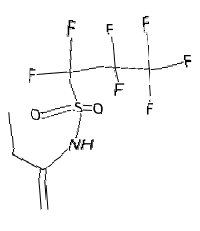 C=C(CC)NS(=O)(=O)C(F)(F)C(F)(F)C(F)(F)F